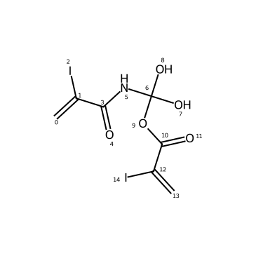 C=C(I)C(=O)NC(O)(O)OC(=O)C(=C)I